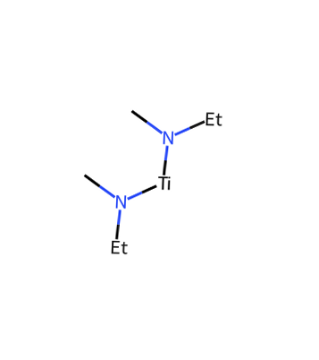 CC[N](C)[Ti][N](C)CC